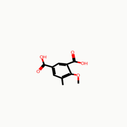 COc1c(C)cc(C(=O)O)cc1C(=O)O